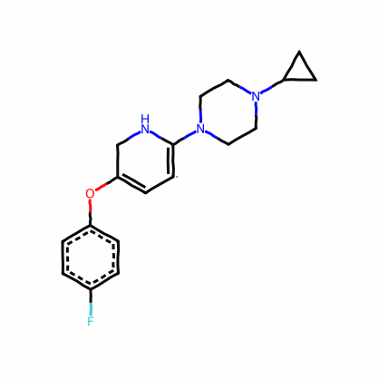 Fc1ccc(OC2=C[C]=C(N3CCN(C4CC4)CC3)NC2)cc1